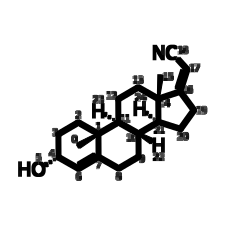 C[C@]12CC[C@@H](O)C=C1CC[C@@H]1[C@@H]2CC[C@]2(C)/C(=C\C#N)CC[C@@H]12